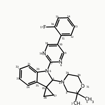 CC1(C)CN(C2N(c3ncc(-c4ccccc4F)cn3)c3c[c]ccc3C23CC3)CCO1